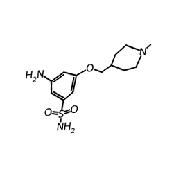 CN1CCC(COc2cc(N)cc(S(N)(=O)=O)c2)CC1